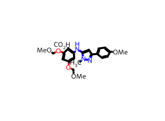 COCOc1cc(Nc2cc(-c3ccc(OC)cc3)nn2C)c(C(=O)O)c(OCOC)c1